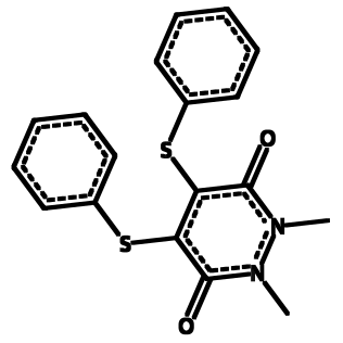 Cn1c(=O)c(Sc2ccccc2)c(Sc2ccccc2)c(=O)n1C